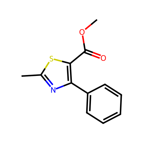 COC(=O)c1sc(C)nc1-c1ccccc1